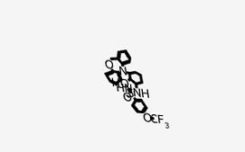 N=S(=O)(NC1CCCC(N2c3ccccc3COc3ccccc32)C1O)c1ccc(OC(F)(F)F)cc1